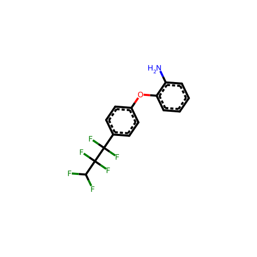 Nc1ccccc1Oc1ccc(C(F)(F)C(F)(F)C(F)F)cc1